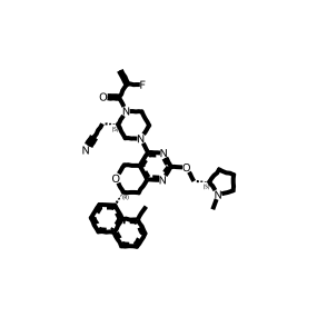 C=C(F)C(=O)N1CCN(c2nc(OC[C@@H]3CCCN3C)nc3c2CO[C@@H](c2cccc4cccc(C)c24)C3)C[C@@H]1CC#N